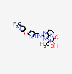 CN1c2nc(NCc3ccc(Oc4ccc(C(F)(F)F)nc4)nc3)nc3c2N(CCC3)C(=O)[C@@H]1CO